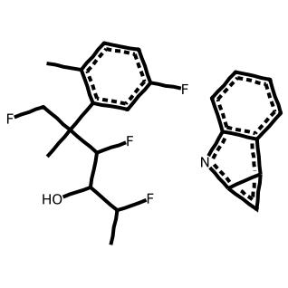 Cc1ccc(F)cc1C(C)(CF)C(F)C(O)C(C)F.c1ccc2c3cc-3nc2c1